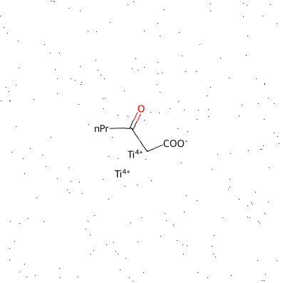 CCCC(=O)CC(=O)[O-].[Ti+4].[Ti+4]